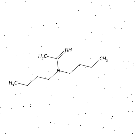 CCCCN(CCCC)C(C)=N